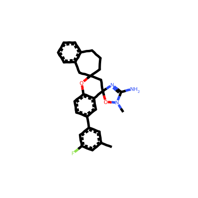 Cc1cc(F)cc(-c2ccc3c(c2)C2(CC4(CCCc5ccccc5C4)O3)N=C(N)N(C)O2)c1